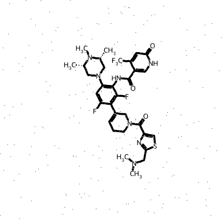 C[C@@H]1CN(c2cc(F)c(C3=CCCN(C(=O)c4csc(CN(C)C)n4)C3)c(F)c2NC(=O)c2c[nH]c(=O)cc2C(F)(F)F)C[C@H](C)N1C